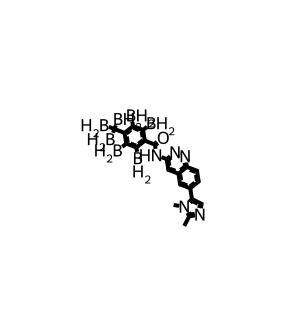 Bc1c(B)c(C(B)(B)B)c(B)c(B)c1C(=O)Nc1cc2cc(-c3cnc(C)n3C)ccc2nn1